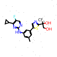 Cc1cc(Nc2ncc(F)c(C3CC3)n2)cc(-c2cnc(C(O)(CO)C(F)(F)F)s2)c1